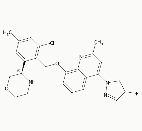 Cc1cc(Cl)c(COc2cccc3c(N4CC(F)C=N4)cc(C)nc23)c([C@@H]2COCCN2)c1